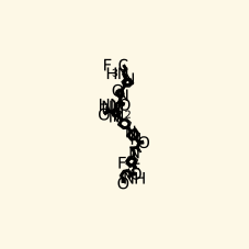 NC(=O)c1nn(C2CCC(N3CCN(C(=O)C4CN(c5cc(F)c([C@H]6CCC(=O)NC6=O)c(F)c5)C4)CC3)CC2)cc1NC(=O)c1coc(-c2ccnc(NCC(F)(F)F)c2)n1